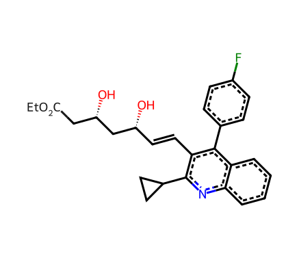 CCOC(=O)C[C@H](O)C[C@H](O)/C=C/c1c(C2CC2)nc2ccccc2c1-c1ccc(F)cc1